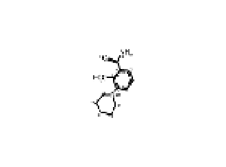 Cc1c(C(N)=O)cccc1N1CCCCC1